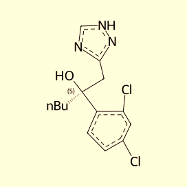 CCCC[C@](O)(Cc1nc[nH]n1)c1ccc(Cl)cc1Cl